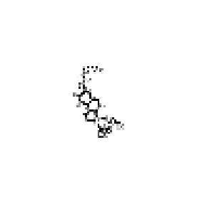 CCOP(=O)(Cc1cccc2c1ccc1cc(OCCOC)ccc12)OCC